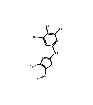 CCSc1sc(Nc2cc(C(C)(C)C)c(O)c(C(C)(C)C)c2)nc1C